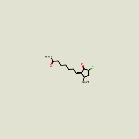 CCCCCCCCC1C=C(Cl)C(=O)/C1=C\CCCCCC(=O)OC